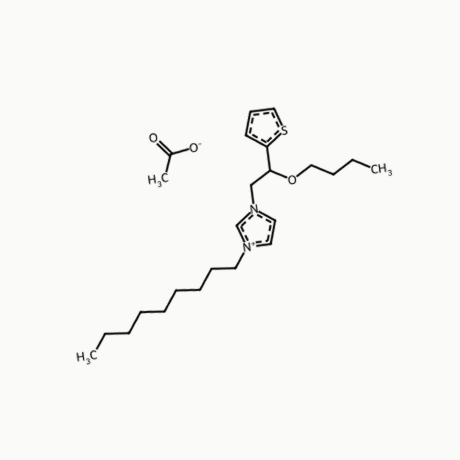 CC(=O)[O-].CCCCCCCCC[n+]1ccn(CC(OCCCC)c2cccs2)c1